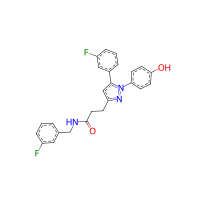 O=C(CCc1cc(-c2cccc(F)c2)n(-c2ccc(O)cc2)n1)NCc1cccc(F)c1